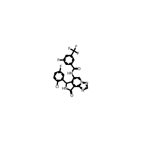 O=C(Nc1cn2ncnc2c2c1C(c1cc(F)ccc1Cl)NC2=O)c1cc(F)cc(C(F)(F)F)c1